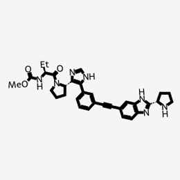 CC[C@H](NC(=O)OC)C(=O)N1CCC[C@H]1c1nc[nH]c1-c1cccc(C#Cc2ccc3nc([C@@H]4CCCN4)[nH]c3c2)c1